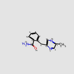 Cc1cnc(Cc2ccccc2C(N)=O)cn1